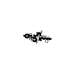 CCOC(=O)/C=C/[C@@H](Nc1nc(-c2cn(S(=O)(=O)c3ccc(C)cc3)c3ncc(F)cc23)ncc1F)C(C)(C)C